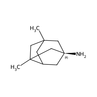 CC12CC3C[C@@](N)(C1)CC3(C)C2